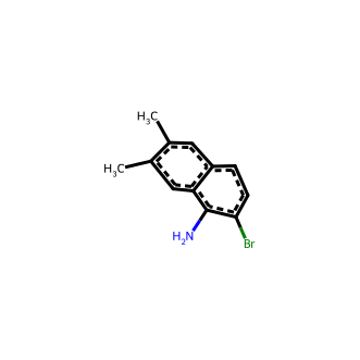 Cc1cc2ccc(Br)c(N)c2cc1C